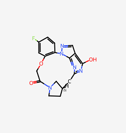 O=C1COc2cc(F)ccc2-n2ncc3c(O)nc(nc32)C[C@@H]2CCN1C2